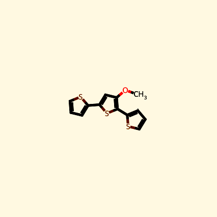 COc1cc(-c2cccs2)sc1-c1[c]ccs1